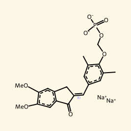 COc1cc2c(cc1OC)C(=O)/C(=C/c1cc(C)c(OCOP(=O)([O-])[O-])c(C)c1)C2.[Na+].[Na+]